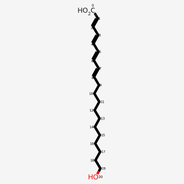 O=C(O)/C=C/C=C/C=C/C=C/CCCCCCCCCCCO